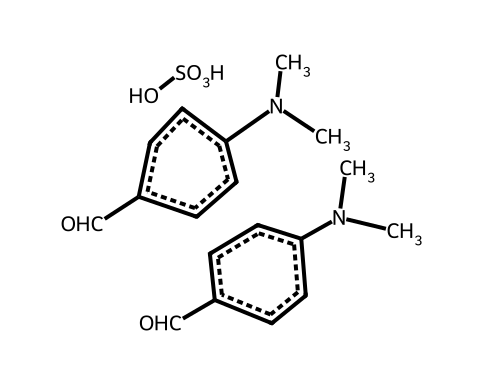 CN(C)c1ccc(C=O)cc1.CN(C)c1ccc(C=O)cc1.O=S(=O)(O)O